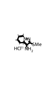 CSc1nn2ccccc2c1N.Cl